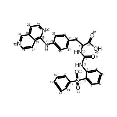 O=C(Nc1ccccc1S(=O)(=O)c1ccccc1)NC(Cc1ccc(Nc2nccc3cnccc23)cc1)C(=O)O